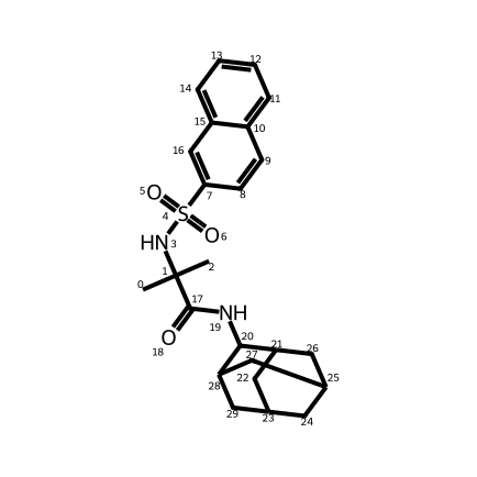 CC(C)(NS(=O)(=O)c1ccc2ccccc2c1)C(=O)NC1C2CC3CC(C2)CC1C3